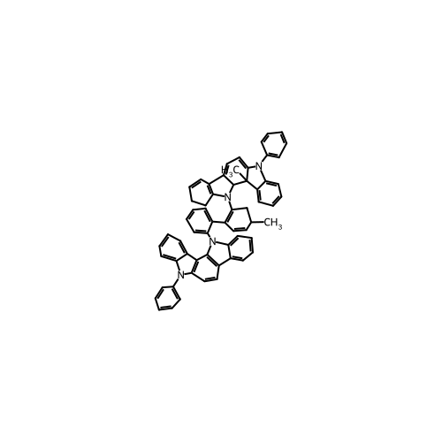 CC1C=CC(c2ccccc2-n2c3ccccc3c3ccc4c(c5ccccc5n4-c4ccccc4)c32)=C(N2C3=C(C=CCC3)C3=CC=C4N(c5ccccc5)c5ccccc5C4(C)C32)C1